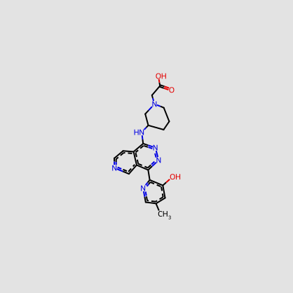 Cc1cnc(-c2nnc(NC3CCCN(CC(=O)O)C3)c3ccncc23)c(O)c1